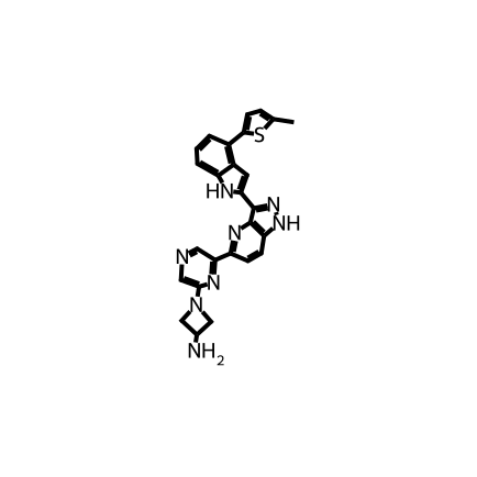 Cc1ccc(-c2cccc3[nH]c(-c4n[nH]c5ccc(-c6cncc(N7CC(N)C7)n6)nc45)cc23)s1